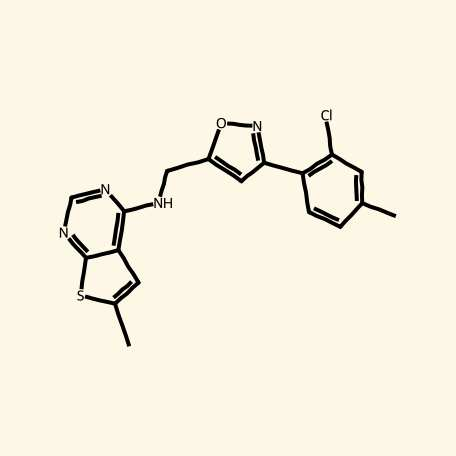 Cc1ccc(-c2cc(CNc3ncnc4sc(C)cc34)on2)c(Cl)c1